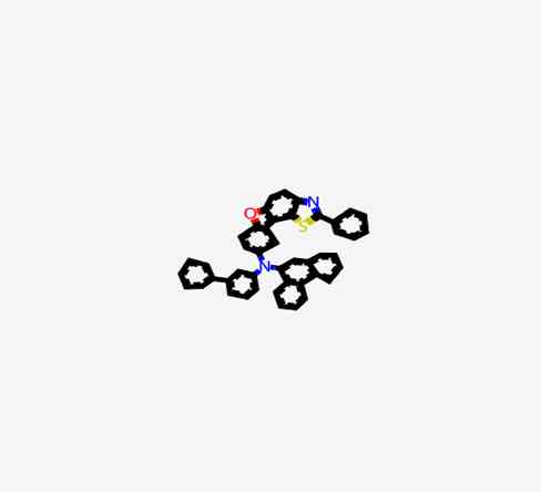 c1ccc(-c2cccc(N(c3ccc4oc5ccc6nc(-c7ccccc7)sc6c5c4c3)c3cc4ccccc4c4ccccc34)c2)cc1